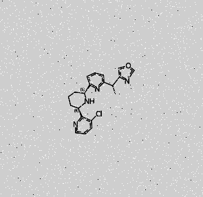 CC(c1cocn1)c1cccc([C@@H]2CCC[C@H](c3ncccc3Cl)N2)n1